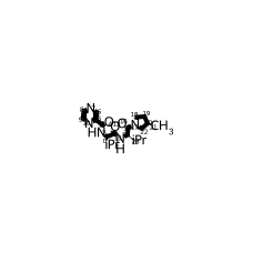 CC(C)[C@H](NC(=O)c1cnccn1)C(=O)N[C@H](C(=O)N1CC[C@H](C)C1)C(C)C